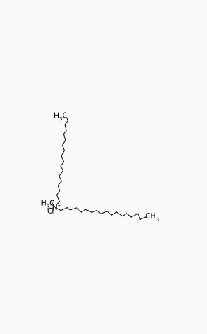 CCCCCCCCCCCCCCCCCC[N+](C)(Cl)CCCCCCCCCCCCCCCCCC